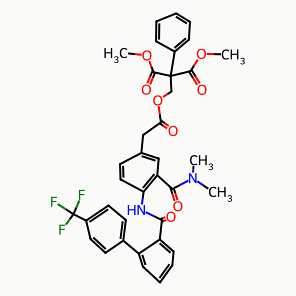 COC(=O)C(COC(=O)Cc1ccc(NC(=O)c2ccccc2-c2ccc(C(F)(F)F)cc2)c(C(=O)N(C)C)c1)(C(=O)OC)c1ccccc1